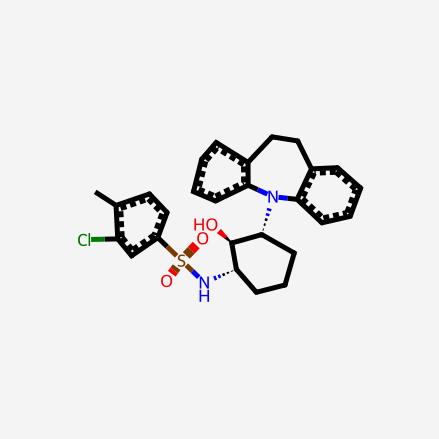 Cc1ccc(S(=O)(=O)N[C@H]2CCC[C@@H](N3c4ccccc4CCc4ccccc43)[C@@H]2O)cc1Cl